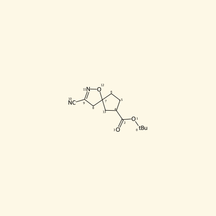 CC(C)(C)OC(=O)C1CCC2(CC(C#N)=NO2)C1